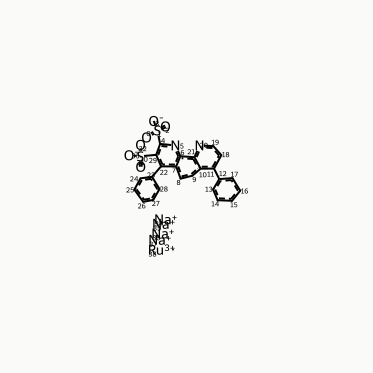 O=S(=O)([O-])c1nc2c(ccc3c(-c4ccccc4)ccnc32)c(-c2ccccc2)c1S(=O)(=O)[O-].[Na+].[Na+].[Na+].[Na+].[Ru+3]